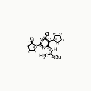 CC(Nc1nc(N2CCCC2=O)nc(Cl)c1C1CCCC1)C(C)(C)C